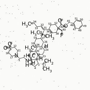 C=C(C)[C@@H]1CC[C@]2(NCCN3CCS(=O)(=O)CC3)CC[C@]3(C)[C@H](CC[C@@H]4C[C@H](C(C)(C)/C(=C\CCC)C5=CC[C@@](CF)(C(=O)OCc6ccccc6)CC5)CC[C@]43C)[C@@H]12